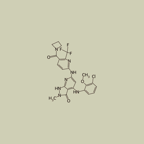 COc1c(Cl)cccc1Nc1cc(Nc2ccc(C(=O)N3CCC3)c(C(F)(F)F)n2)nc2[nH]n(C)c(=O)c12